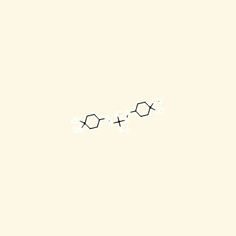 CC(C)(OOC1CCC(C(C)(C)C)(C(C)(C)C)CC1)OOC1CCC(C(C)(C)C)(C(C)(C)C)CC1